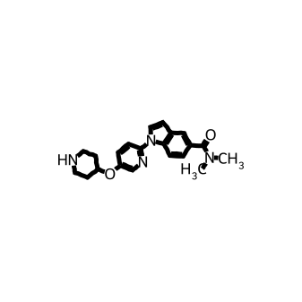 CN(C)C(=O)c1ccc2c(ccn2-c2ccc(OC3CCNCC3)cn2)c1